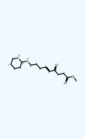 COC(=O)CCC(=O)C=CCCCOC1CCCCO1